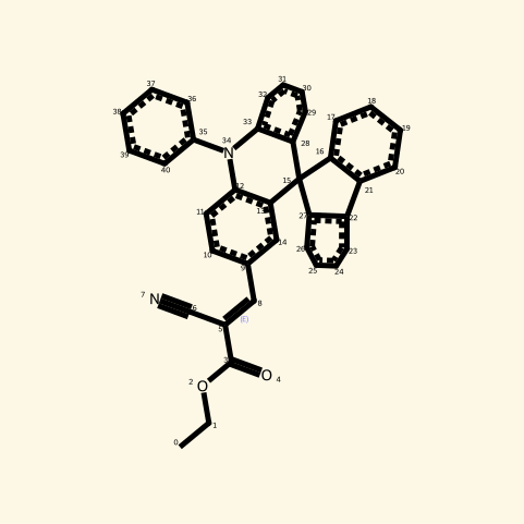 CCOC(=O)/C(C#N)=C/c1ccc2c(c1)C1(c3ccccc3-c3ccccc31)c1ccccc1N2c1ccccc1